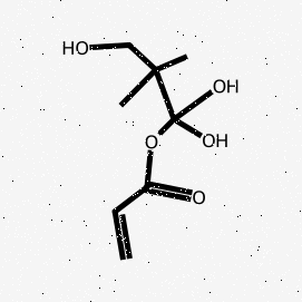 C=CC(=O)OC(O)(O)C(C)(C)CO